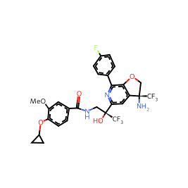 COc1cc(C(=O)NC[C@@](O)(c2cc3c(c(-c4ccc(F)cc4)n2)OC[C@@]3(N)C(F)(F)F)C(F)(F)F)ccc1OC1CC1